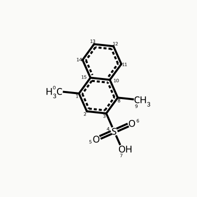 Cc1cc(S(=O)(=O)O)c(C)c2ccccc12